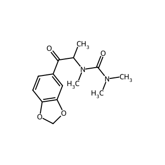 CC(C(=O)c1ccc2c(c1)OCO2)N(C)C(=O)N(C)C